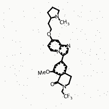 COc1cc(-c2cnc3cc(OCCC4CCCN4C)ccn23)cc2c1C(=O)N(CC(F)(F)F)CC2